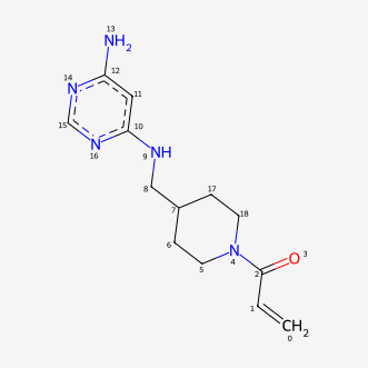 C=CC(=O)N1CCC(CNc2cc(N)ncn2)CC1